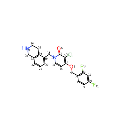 O=c1c(Cl)c(OCc2ccc(F)cc2F)ccn1Cc1cccc2c1CCNC2